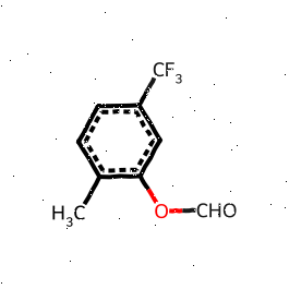 Cc1ccc(C(F)(F)F)cc1OC=O